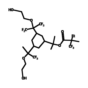 CCC(C)(C(=O)OC(C)(C)C1CC(C(C)(OCCO)C(F)(F)F)CC(C(OCCO)(C(F)(F)F)C(F)(F)F)C1)C(F)(F)F